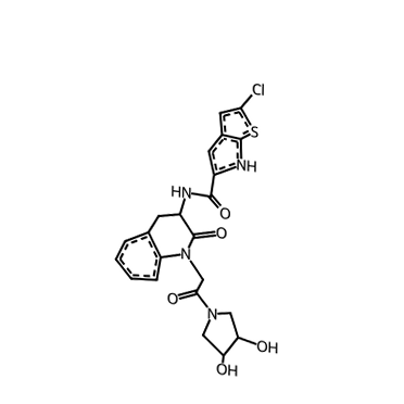 O=C(NC1Cc2ccccc2N(CC(=O)N2CC(O)C(O)C2)C1=O)c1cc2cc(Cl)sc2[nH]1